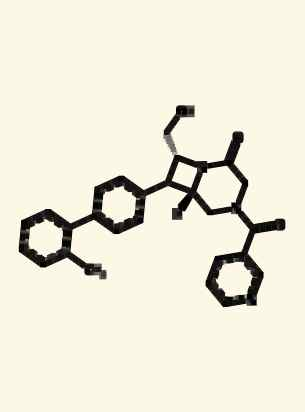 Cc1ccccc1-c1ccc(C2[C@H]3CN(C(=O)c4cccnc4)CC(=O)N3[C@H]2CO)cc1